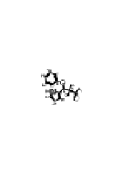 CC(=O)C(C)(C)C(Oc1ccccc1)c1ccc[nH]1